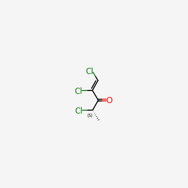 C[C@H](Cl)C(=O)C(Cl)=CCl